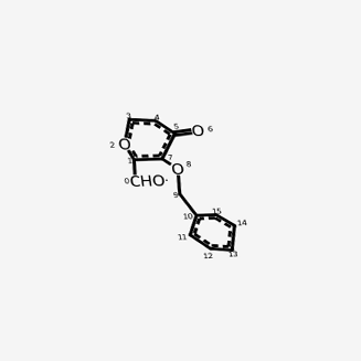 O=[C]c1occc(=O)c1OCc1ccccc1